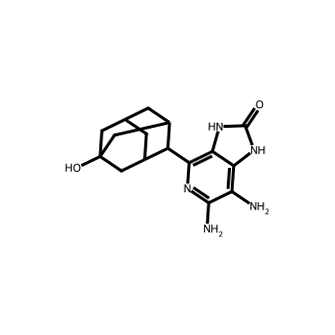 Nc1nc(C2C3CC4CC2CC(O)(C4)C3)c2[nH]c(=O)[nH]c2c1N